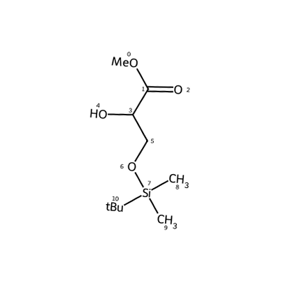 COC(=O)C(O)CO[Si](C)(C)C(C)(C)C